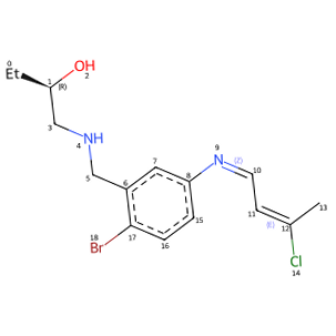 CC[C@@H](O)CNCc1cc(/N=C\C=C(/C)Cl)ccc1Br